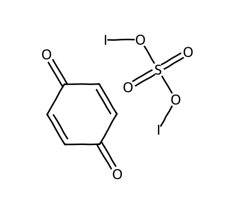 O=C1C=CC(=O)C=C1.O=S(=O)(OI)OI